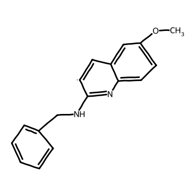 COc1ccc2nc(NCc3ccccc3)[c]cc2c1